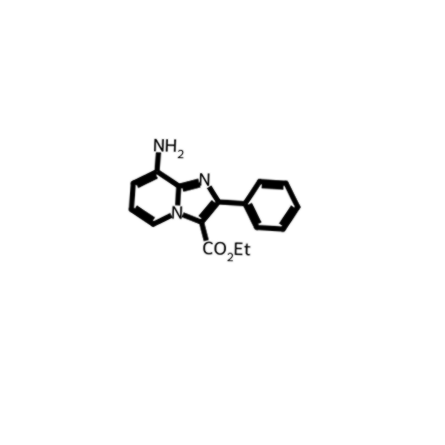 CCOC(=O)c1c(-c2ccccc2)nc2c(N)cccn12